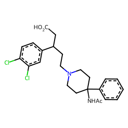 CC(=O)NC1(c2ccccc2)CCN(CCC(CC(=O)O)c2ccc(Cl)c(Cl)c2)CC1